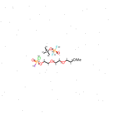 COCCOCCOCCOP(=O)(Cl)I.C[Si](C)(C)OP(=O)(F)F